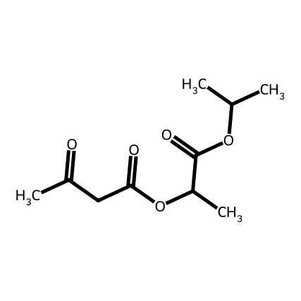 CC(=O)CC(=O)OC(C)C(=O)OC(C)C